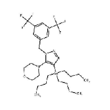 CCC[CH2][Sn]([CH2]CCC)([CH2]CCC)[c]1nnn(Cc2cc(C(F)(F)F)cc(C(F)(F)F)c2)c1N1CCOCC1